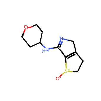 [O-][S+]1CCC2=C1C(NC1CCOCC1)=NC2